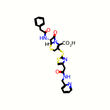 O=C(Cc1csc(SC2=C(C(=O)O)N3C(=O)[C@@H](NC(=O)Cc4ccccc4)[C@@H]3SC2)n1)NCc1ccccn1